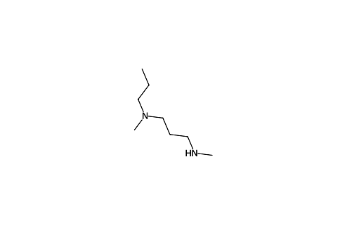 CCCN(C)CCCNC